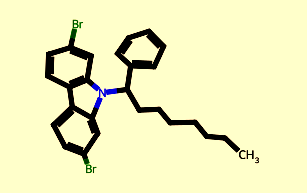 CCCCCCCC(c1ccccc1)n1c2cc(Br)ccc2c2ccc(Br)cc21